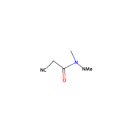 CNN(C)C(=O)CC#N